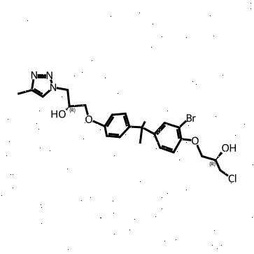 Cc1cn(C[C@@H](O)COc2ccc(C(C)(C)c3ccc(OC[C@@H](O)CCl)c(Br)c3)cc2)nn1